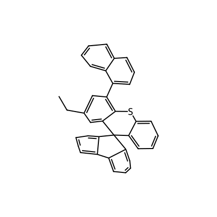 CCc1cc(-c2cccc3ccccc23)c2c(c1)C1(c3ccccc3S2)c2ccccc2-c2ccccc21